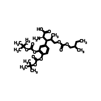 CCC(C)COC(=O)OCC(C)C(c1ccc(OC(=O)OC(C)(C)C)c(OC(=O)OC(C)(C)C)c1)[C@H](N)C(=O)O